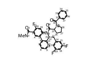 CNC(=O)c1cc(-c2cccnc2[C@H](Cc2cc(F)cc(F)c2)NC(=O)C2CCCN2C(=O)c2ccccc2)ccc1F